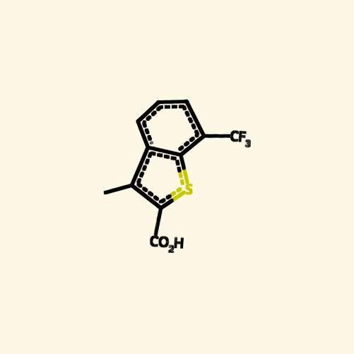 Cc1c(C(=O)O)sc2c(C(F)(F)F)cccc12